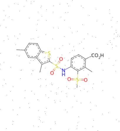 Cc1ccc2sc(S(=O)(=O)Nc3ccc(C(=O)O)c(C)c3S(C)(=O)=O)c(C)c2c1